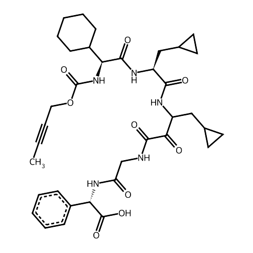 CC#CCOC(=O)N[C@H](C(=O)N[C@@H](CC1CC1)C(=O)NC(CC1CC1)C(=O)C(=O)NCC(=O)N[C@H](C(=O)O)c1ccccc1)C1CCCCC1